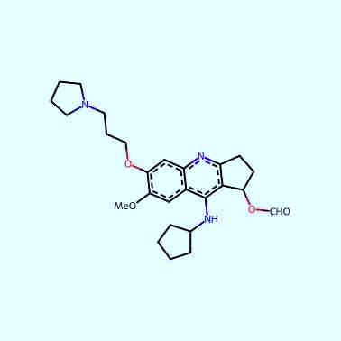 COc1cc2c(NC3CCCC3)c3c(nc2cc1OCCCN1CCCC1)CCC3OC=O